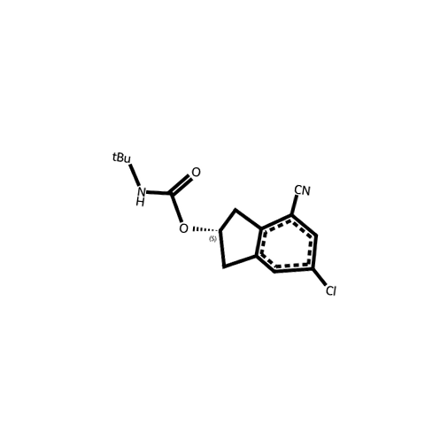 CC(C)(C)NC(=O)O[C@H]1Cc2cc(Cl)cc(C#N)c2C1